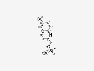 CC(C)(C)[Si](C)(C)OCc1ccc2cc(Br)ccc2n1